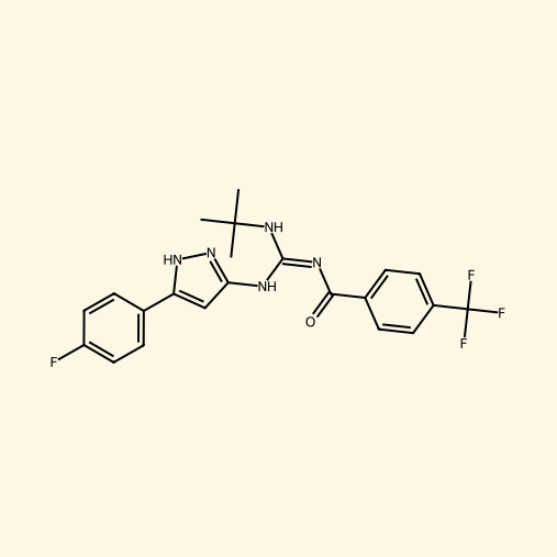 CC(C)(C)N/C(=N/C(=O)c1ccc(C(F)(F)F)cc1)Nc1cc(-c2ccc(F)cc2)[nH]n1